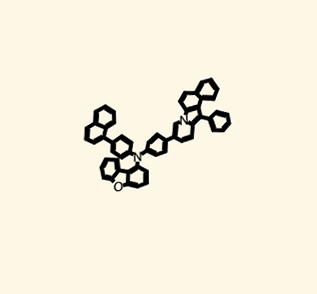 c1ccc(-c2c3c4ccccc4ccc3n3cc(-c4ccc(N(c5ccc(-c6cccc7ccccc67)cc5)c5cccc6oc7ccccc7c56)cc4)ccc23)cc1